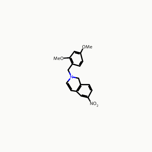 COc1ccc(CN2C=Cc3cc([N+](=O)[O-])ccc3C2)c(OC)c1